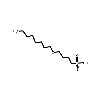 CCCCCCCCOCCCCS(=O)(=O)O